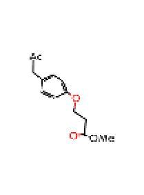 COC(=O)CCOc1ccc(CC(C)=O)cc1